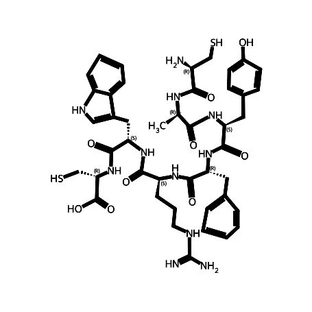 C[C@@H](NC(=O)[C@@H](N)CS)C(=O)N[C@@H](Cc1ccc(O)cc1)C(=O)N[C@H](Cc1ccccc1)C(=O)N[C@@H](CCCNC(=N)N)C(=O)N[C@@H](Cc1c[nH]c2ccccc12)C(=O)N[C@@H](CS)C(=O)O